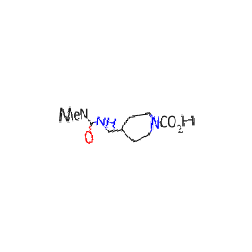 CNC(=O)NCC1CCN(C(=O)O)CC1